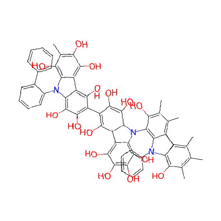 Cc1c(C)c(O)c2c(c1C)c1c(C)c(C)c(O)c(N3c4c(O)c(O)c(O)c(O)c4C4C(O)=C(c5c(O)c(O)c6c(c5O)c5c(O)c(O)c(C)c(O)c5n6-c5ccccc5-c5ccccc5)C(O)=C(O)C43)c1n2-c1ccccc1